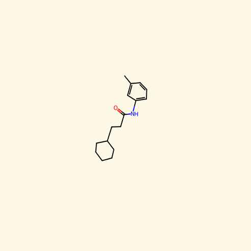 Cc1cccc(NC(=O)CCC2CCCCC2)c1